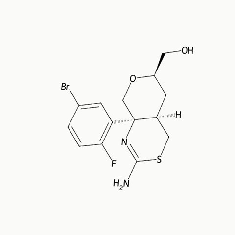 NC1=N[C@@]2(c3cc(Br)ccc3F)CO[C@@H](CO)C[C@H]2CS1